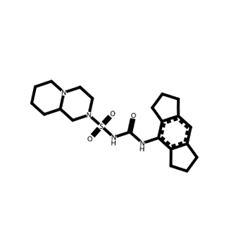 O=C(Nc1c2c(cc3c1CCC3)CCC2)NS(=O)(=O)N1CCN2CCCCC2C1